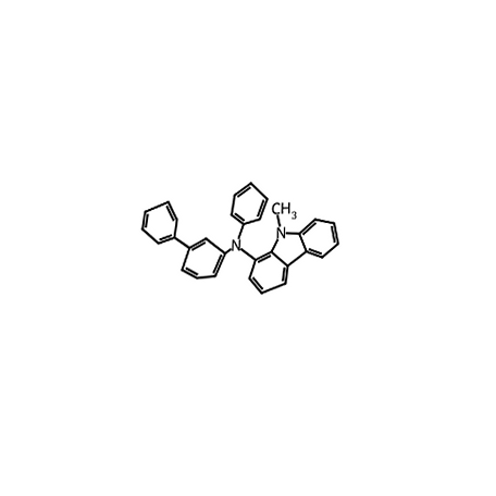 Cn1c2ccccc2c2cccc(N(c3ccccc3)c3cccc(-c4ccccc4)c3)c21